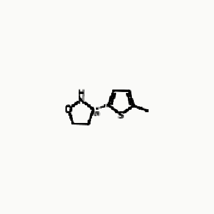 Cc1ccc([C@@H]2CCON2)s1